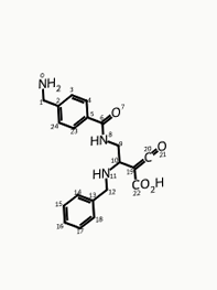 NCc1ccc(C(=O)NCC(NCc2ccccc2)C(=C=O)C(=O)O)cc1